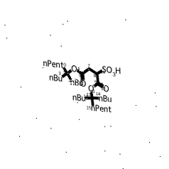 CCCCCC(CCCC)(CCCC)OC(=O)CC(C(=O)OC(CCCC)(CCCC)CCCCC)S(=O)(=O)O